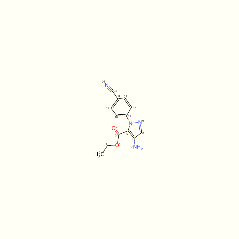 CCOC(=O)c1c(N)cnn1-c1ccc(C#N)cc1